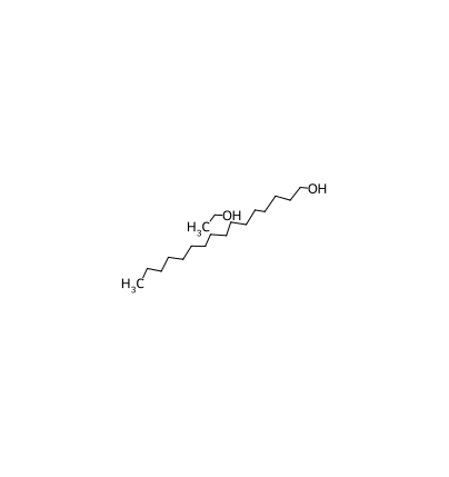 CCCCCCCCCCCCCCCCO.CCO